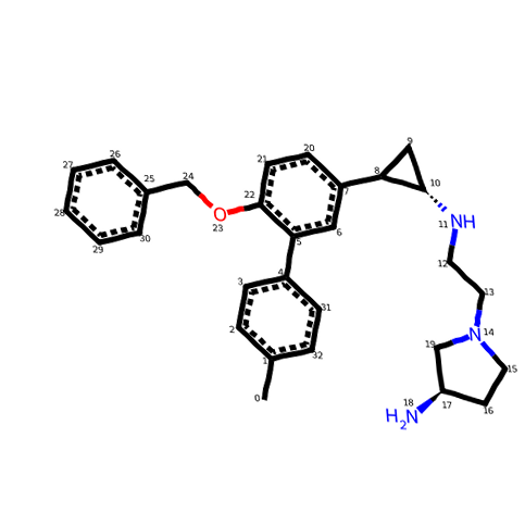 Cc1ccc(-c2cc(C3C[C@@H]3NCCN3CC[C@@H](N)C3)ccc2OCc2ccccc2)cc1